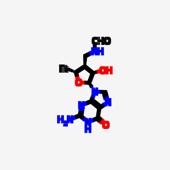 CC[C@H]1O[C@@H](n2cnc3c(=O)[nH]c(N)nc32)[C@H](O)[C@@H]1CNC=O